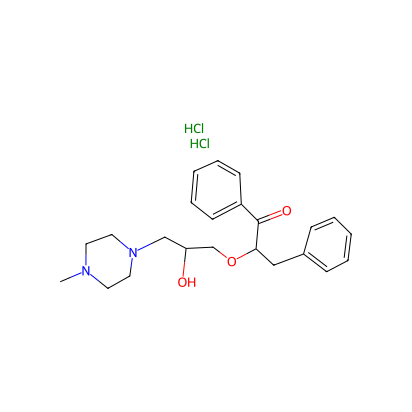 CN1CCN(CC(O)COC(Cc2ccccc2)C(=O)c2ccccc2)CC1.Cl.Cl